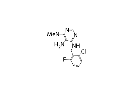 CNc1ncnc(NCc2c(F)cccc2Cl)c1N